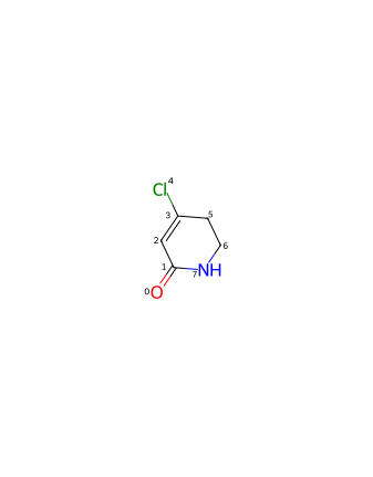 O=C1C=C(Cl)CCN1